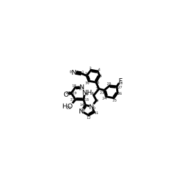 N#Cc1cccc(C(CCn2ccnc2-c2[nH]ncc(=O)c2O)c2cccc(F)c2)c1